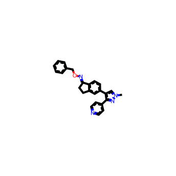 Cn1cc(-c2ccc3c(c2)CCC3=NOCc2ccccc2)c(-c2ccncc2)n1